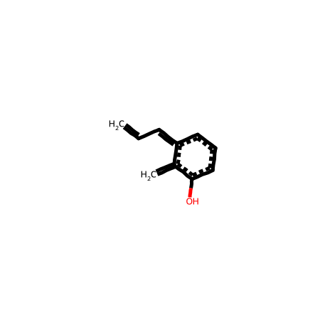 C=C/C=c1/cccc(O)c1=C